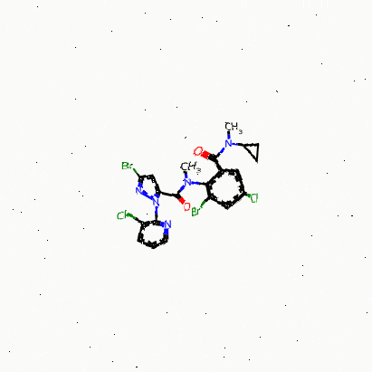 CN(C(=O)c1cc(Br)nn1-c1ncccc1Cl)c1c(Br)cc(Cl)cc1C(=O)N(C)C1CC1